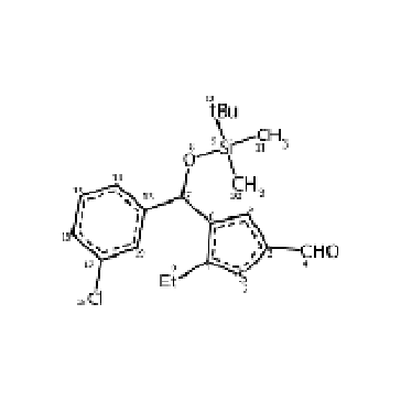 CCc1sc(C=O)cc1C(O[Si](C)(C)C(C)(C)C)c1cccc(Cl)c1